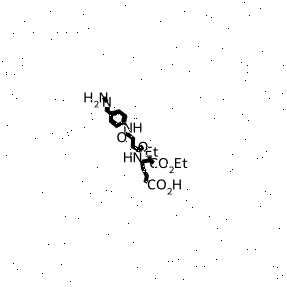 CCOC(=O)C(CC)C(CCCC(=O)O)NC(=O)CCC(=O)Nc1ccc(C=NN)cc1